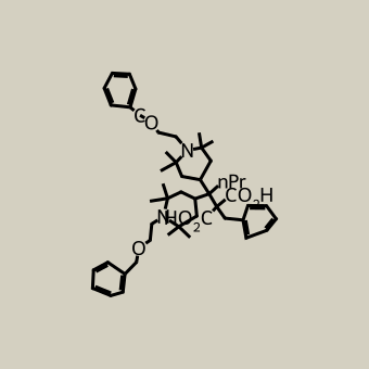 CCCC(C1CC(C)(C)N(CCOCc2ccccc2)C(C)(C)C1)(C1CC(C)(C)N(CCOCc2ccccc2)C(C)(C)C1)C(Cc1ccccc1)(C(=O)O)C(=O)O